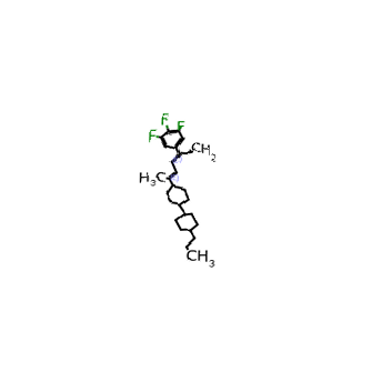 C=C/C(=C\C=C(/C)C1CCC(C2CCC(CCC)CC2)CC1)c1cc(F)c(F)c(F)c1